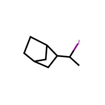 CC(I)C1CC2CCC1C2